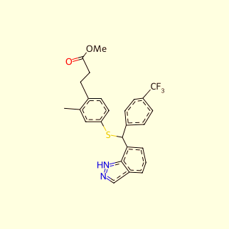 COC(=O)CCc1ccc(SC(c2ccc(C(F)(F)F)cc2)c2cccc3cn[nH]c23)cc1C